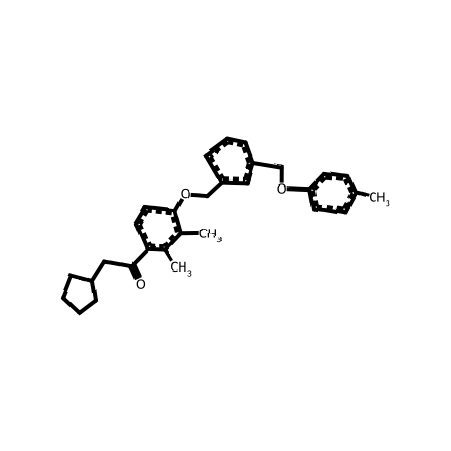 Cc1ccc(OCc2cccc(COc3ccc(C(=O)CC4CCCC4)c(C)c3C)c2)cc1